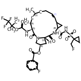 C[C@H]1CC/C=C\C2C[C@@]2(C(=O)NS(=O)(=O)C2(CF)CC2)NC(=O)[C@@H]2C[C@@H](OC(=O)c3cccc(F)c3)CN2C(=O)[C@@H](NC(=O)OC(C)(C)C(F)(F)F)[C@H](C)C1